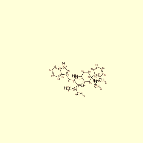 CN(C)C(=O)C(Cc1c[nH]c2ccccc12)NC1CCC(c2ccccc2)(N(C)C)CC1